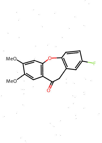 COc1cc2c(cc1OC)C(=O)Cc1cc(F)ccc1O2